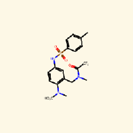 Cc1ccc(S(=O)(=O)Nc2ccc(N(C)C(=O)O)c(CN(C)C(=O)C(F)(F)F)c2)cc1